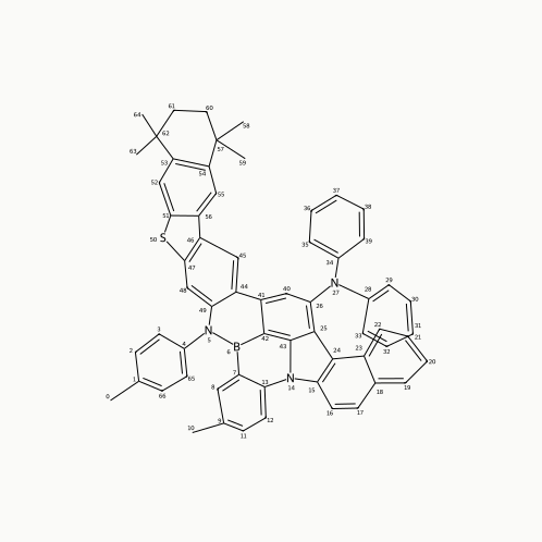 Cc1ccc(N2B3c4cc(C)ccc4-n4c5ccc6ccccc6c5c5c(N(c6ccccc6)c6ccccc6)cc(c3c54)-c3cc4c(cc32)sc2cc3c(cc24)C(C)(C)CCC3(C)C)cc1